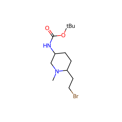 CN1CC(NC(=O)OC(C)(C)C)CCC1CCBr